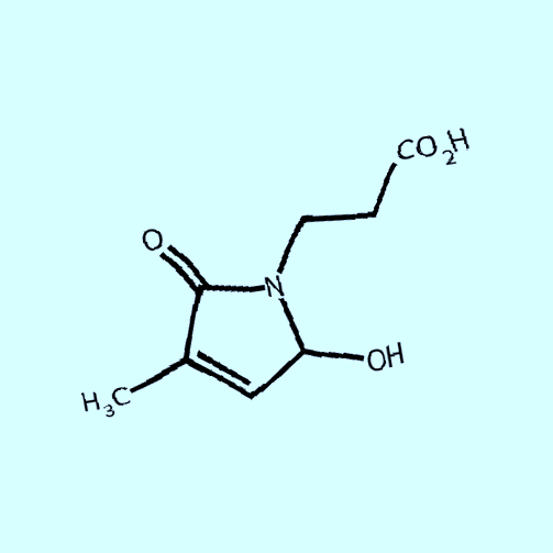 CC1=CC(O)N(CCC(=O)O)C1=O